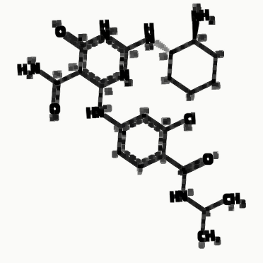 CC(C)NC(=O)c1ccc(Nc2nc(N[C@H]3CCCC[C@@H]3N)[nH]c(=O)c2C(N)=O)cc1Cl